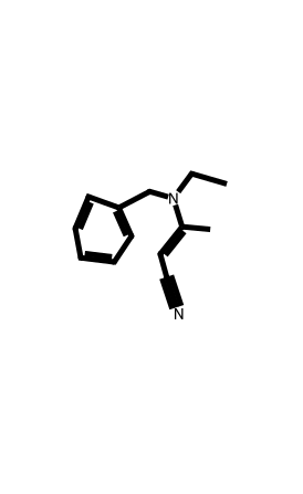 CCN(Cc1ccccc1)C(C)=CC#N